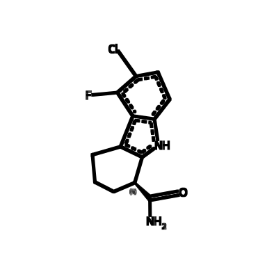 NC(=O)[C@H]1CCCc2c1[nH]c1ccc(Cl)c(F)c21